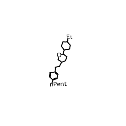 CCCCCc1ccc(CCC2CCC(C3CCC(CC)CC3)OC2)cc1